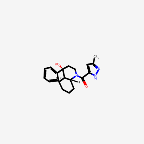 O=C(c1cc(C(F)(F)F)n[nH]1)N1CC[C@@](O)(c2ccccc2)[C@@H]2CCCC[C@H]21